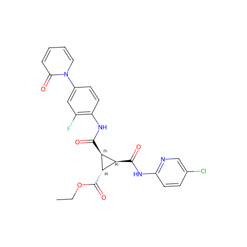 CCOC(=O)[C@H]1[C@H](C(=O)Nc2ccc(Cl)cn2)[C@@H]1C(=O)Nc1ccc(-n2ccccc2=O)cc1F